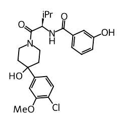 COc1cc(C2(O)CCN(C(=O)[C@H](NC(=O)c3cccc(O)c3)C(C)C)CC2)ccc1Cl